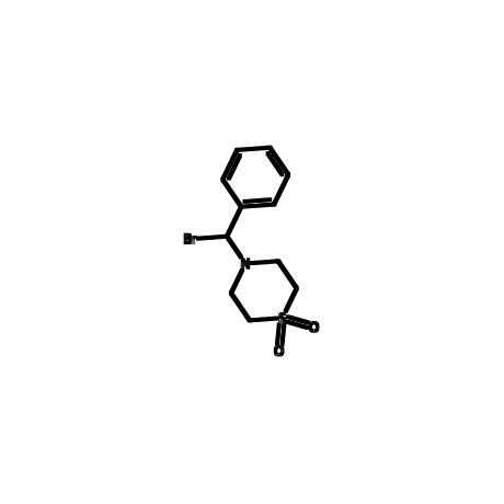 O=S1(=O)CCN(C(Br)c2ccccc2)CC1